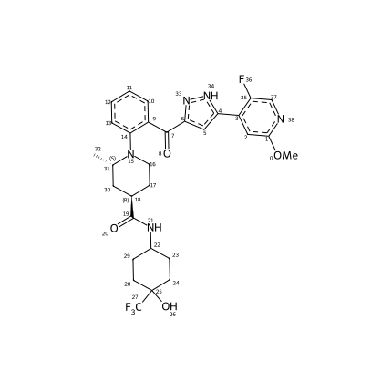 COc1cc(-c2cc(C(=O)c3ccccc3N3CC[C@@H](C(=O)NC4CCC(O)(C(F)(F)F)CC4)C[C@@H]3C)n[nH]2)c(F)cn1